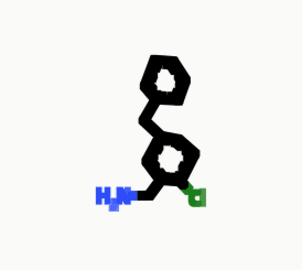 NCc1cc(Cc2ccccc2)ccc1Cl